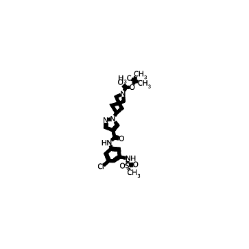 CC(C)(C)OC(=O)N1CC2(CC(n3cc(C(=O)Nc4cc(Cl)cc(NS(C)(=O)=O)c4)cn3)C2)C1